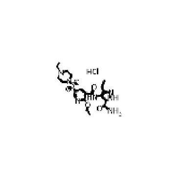 CCOc1ncc(S(=O)(=O)N2CCN(CC)CC2)cc1C(=O)Nc1c(CC)n[nH]c1C(N)=O.Cl